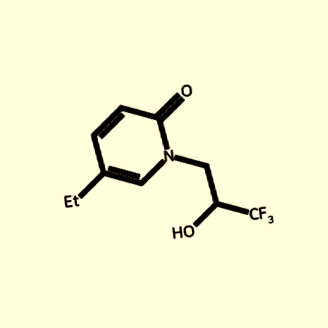 CCc1ccc(=O)n(CC(O)C(F)(F)F)c1